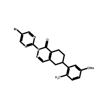 COc1ccc(C)c(C2CCc3c(cnn(-c4ncc(Br)cn4)c3=O)C2)c1